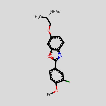 CC(=O)N[C@@H](C)COc1ccc2nc(-c3ccc(OC(C)C)c(F)c3)oc2c1